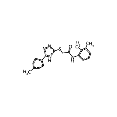 Cc1ccc(-c2nnc(SCC(=O)Nc3cccc(C)c3C)[nH]2)cc1